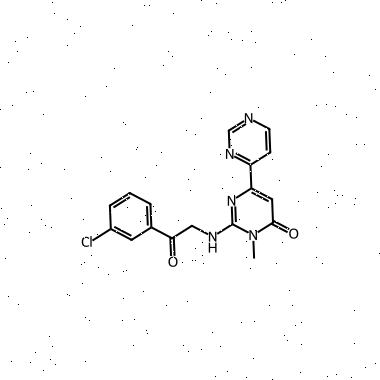 Cn1c(NCC(=O)c2cccc(Cl)c2)nc(-c2ccncn2)cc1=O